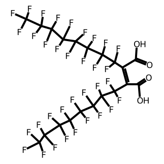 O=C(O)/C(=C(\C(=O)O)C(F)(F)C(F)(F)C(F)(F)C(F)(F)C(F)(F)C(F)(F)C(F)(F)C(F)(F)F)C(F)(F)C(F)(F)C(F)(F)C(F)(F)C(F)(F)C(F)(F)C(F)(F)C(F)(F)F